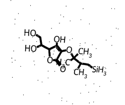 CC(C[SiH3])C(C)(C)OC1=C(O)C(C(O)CO)OC1=O